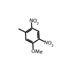 COc1cc(C)c([N+](=O)[O-])cc1[N+](=O)[O-]